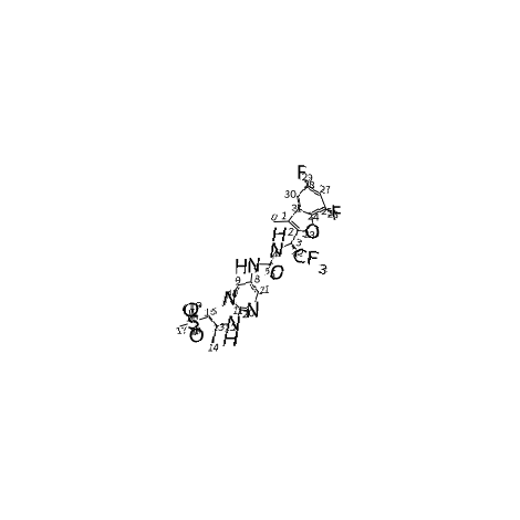 Cc1c([C@H](NC(=O)Nc2cnc(N[C@@H](C)CS(C)(=O)=O)nc2)C(F)(F)F)oc2c(F)cc(F)cc12